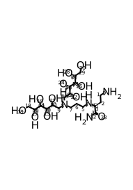 NCC[C@H](NCCCN(C[C@H](O)[C@@H](O)[C@H](O)[C@H](O)CO)C[C@H](O)[C@@H](O)[C@H](O)[C@H](O)CO)C(N)=O